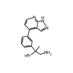 CCCC(C)(CN)c1cccc(-c2ccnc3[nH]ncc23)c1